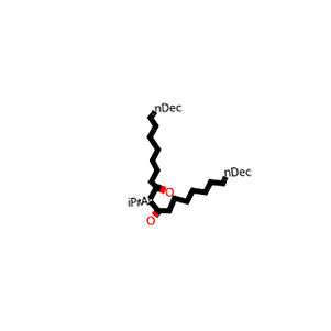 CCCCCCCCCCCCCCCCC[C](=O)[Al]([C](=O)CCCCCCCCCCCCCCCCC)[CH](C)C